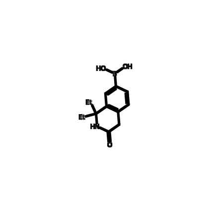 CCC1(CC)NC(=O)Cc2ccc(B(O)O)cc21